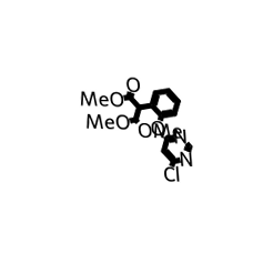 COC(=O)C(c1ccccc1Oc1cc(Cl)ncn1)C(OC)OC